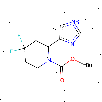 CC(C)(C)OC(=O)N1CCC(F)(F)CC1c1c[nH]cn1